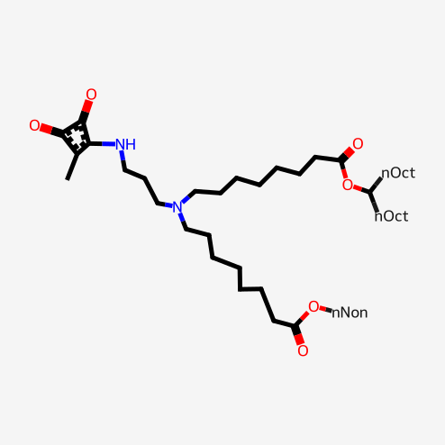 CCCCCCCCCOC(=O)CCCCCCCN(CCCCCCCC(=O)OC(CCCCCCCC)CCCCCCCC)CCCNc1c(C)c(=O)c1=O